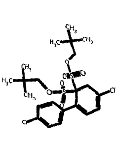 CC(C)(C)COS(=O)(=O)C1(S(=O)(=O)OCC(C)(C)C)CC(Cl)=CC=C1c1ccc(Cl)cc1